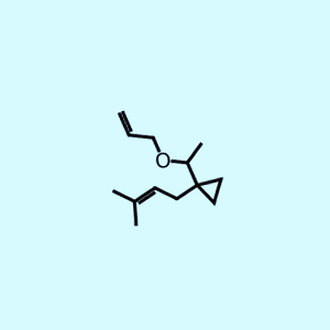 C=CCOC(C)C1(CC=C(C)C)CC1